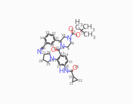 CC(C)(C)OC(=O)N1CCN(C(=O)c2ccc(NC(=O)C3CC3)cc2N2CCCC2)C(c2cccc(C#N)c2)C1